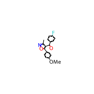 COc1ccc(-c2onc(C)c2C(=O)c2ccc(F)cc2)cc1